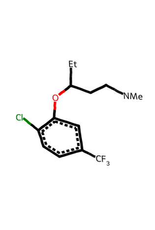 CCC(CCNC)Oc1cc(C(F)(F)F)ccc1Cl